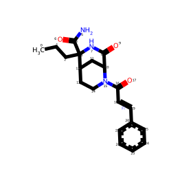 CCCC1(C(N)=O)NC(=O)C2CC1CCN2C(=O)/C=C/c1ccccc1